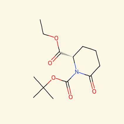 CCOC(=O)[C@@H]1CCCC(=O)N1C(=O)OC(C)(C)C